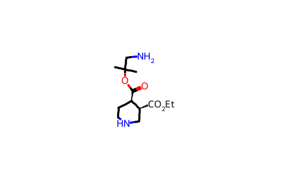 CCOC(=O)[C@H]1CNCC[C@H]1C(=O)OC(C)(C)CN